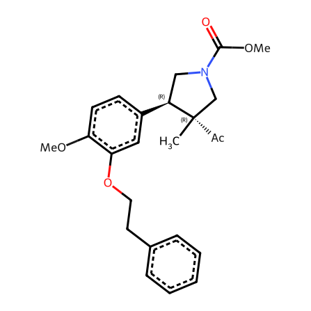 COC(=O)N1C[C@H](c2ccc(OC)c(OCCc3ccccc3)c2)[C@@](C)(C(C)=O)C1